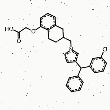 O=C(O)COc1cccc2c1CCC(Cn1cc(C(c3ccccc3)c3cccc(Cl)c3)cn1)C2